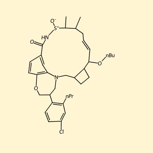 CCCCOC1/C=C/CC(C)C(C)[S+]([O-])NC(=O)c2ccc3c(c2)N(CC(c2ccc(Cl)cc2CCC)CO3)CC2CCC21